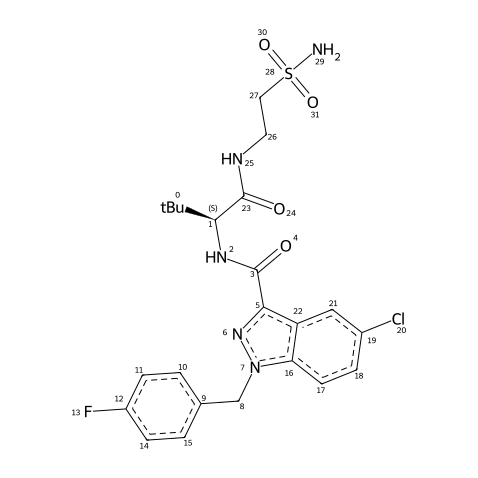 CC(C)(C)[C@H](NC(=O)c1nn(Cc2ccc(F)cc2)c2ccc(Cl)cc12)C(=O)NCCS(N)(=O)=O